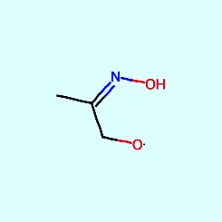 CC(C[O])=NO